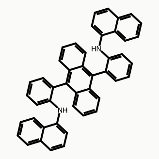 c1ccc(-c2c3ccccc3c(-c3ccccc3Nc3cccc4ccccc34)c3ccccc23)c(Nc2cccc3ccccc23)c1